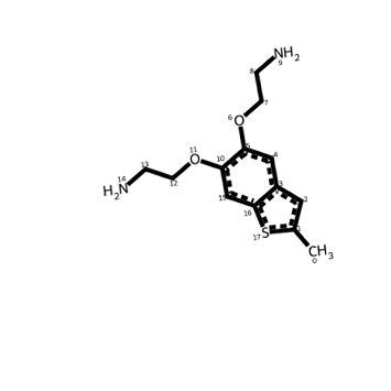 Cc1cc2cc(OCCN)c(OCCN)cc2s1